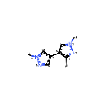 Cc1nn(C)cc1-c1cnn(C)c1